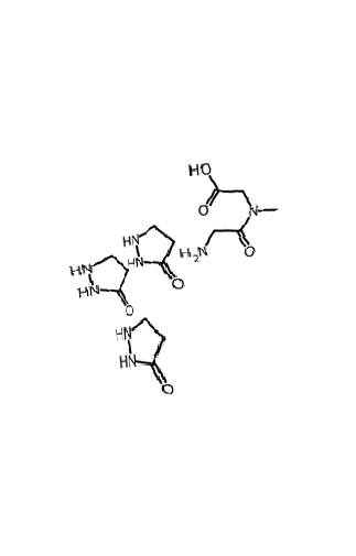 CN(CC(=O)O)C(=O)CN.O=C1CCNN1.O=C1CCNN1.O=C1CCNN1